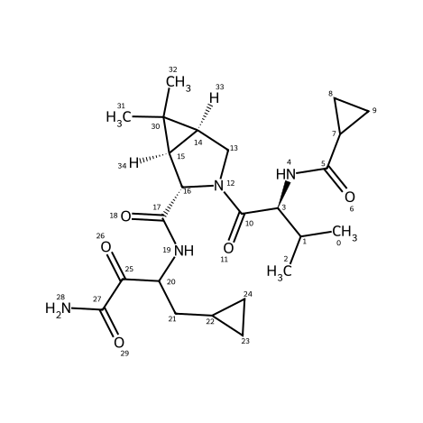 CC(C)[C@H](NC(=O)C1CC1)C(=O)N1C[C@H]2[C@@H]([C@H]1C(=O)NC(CC1CC1)C(=O)C(N)=O)C2(C)C